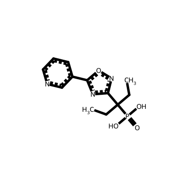 CCC(CC)(c1noc(-c2cccnc2)n1)P(=O)(O)O